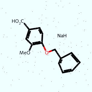 COc1cc(C(=O)O)ccc1OCc1ccccc1.[NaH]